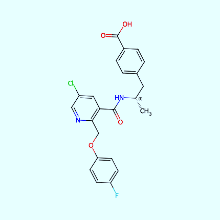 C[C@@H](Cc1ccc(C(=O)O)cc1)NC(=O)c1cc(Cl)cnc1COc1ccc(F)cc1